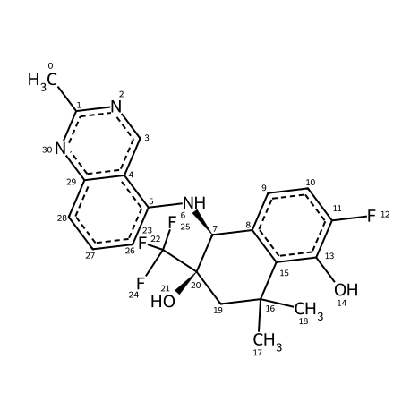 Cc1ncc2c(N[C@H]3c4ccc(F)c(O)c4C(C)(C)C[C@]3(O)C(F)(F)F)cccc2n1